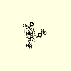 Cn1nnnc1SCC1=C(C(=O)OCc2ccc([N+](=O)[O-])cc2)N2C(=O)C(NC(=O)C(OC=O)c3ccccc3)[C@@H]2SC1